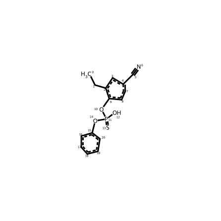 CCc1cc(C#N)ccc1OP(O)(=S)Oc1ccccc1